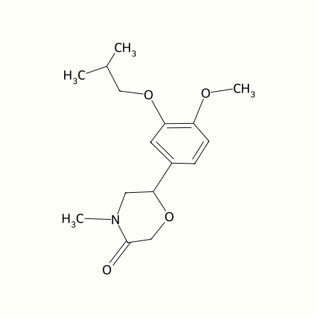 COc1ccc(C2CN(C)C(=O)CO2)cc1OCC(C)C